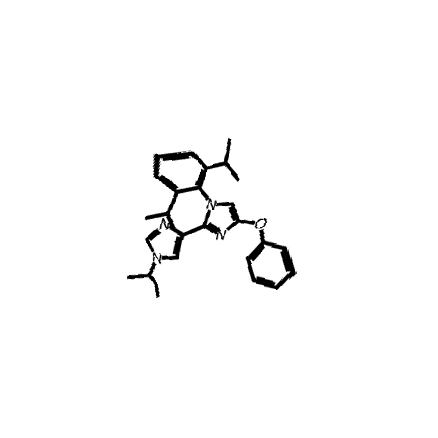 CC(C)c1cccc(C(C)C)c1-n1cc(Oc2ccccc2)nc1-c1cn(C(C)C)cn1